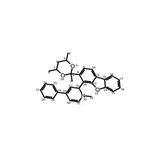 CC1CC(C)OC(C)(c2ccc3c(oc4ccccc43)c2C2C=C(c3ccccc3)C=CN2C)O1